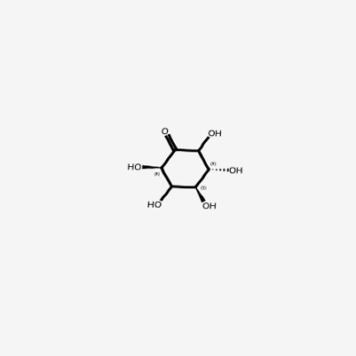 O=C1C(O)[C@H](O)[C@@H](O)C(O)[C@H]1O